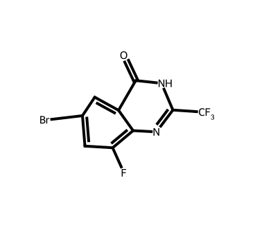 O=c1[nH]c(C(F)(F)F)nc2c(F)cc(Br)cc12